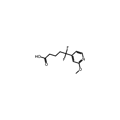 COc1cc(C(F)(F)CCCC(=O)O)ccn1